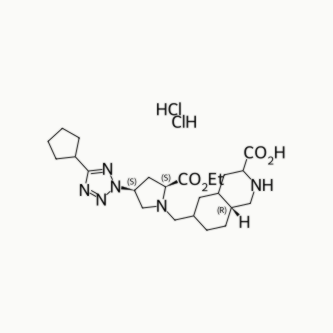 CCOC(=O)[C@@H]1C[C@H](n2nnc(C3CCCC3)n2)CN1CC1CC[C@H]2CNC(C(=O)O)CC2C1.Cl.Cl